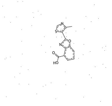 Cc1ncsc1-c1nc2c(C(=O)O)cccc2o1